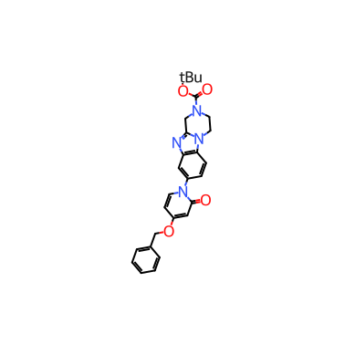 CC(C)(C)OC(=O)N1CCn2c(nc3cc(-n4ccc(OCc5ccccc5)cc4=O)ccc32)C1